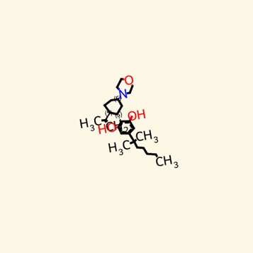 C=C(C)[C@H]1CC[C@H](N2CCOCC2)C[C@@H]1c1c(O)cc(C(C)(C)CCCCC)cc1O